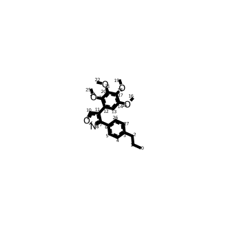 CCCc1ccc(-c2nocc2-c2cc(OC)c(OC)c(OC)c2OC)cc1